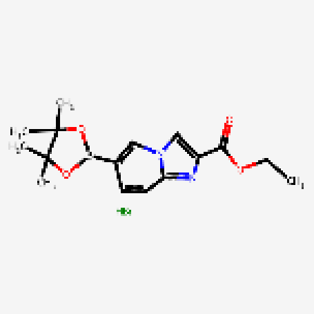 Br.CCOC(=O)c1cn2cc(B3OC(C)(C)C(C)(C)O3)ccc2n1